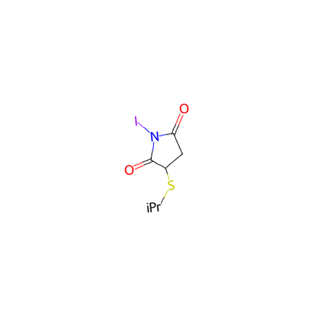 CC(C)SC1CC(=O)N(I)C1=O